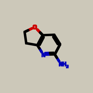 Nc1ccc2c(n1)CCO2